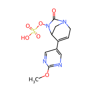 COc1ncc(C2=CCN3CC2N(OS(=O)(=O)O)C3=O)cn1